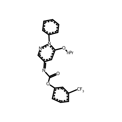 CCCOc1c/c(=N\C(=O)Oc2cccc(C(F)(F)F)c2)cnn1-c1ccccc1